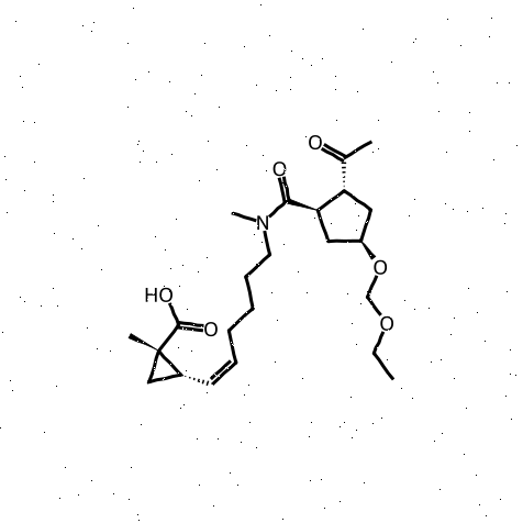 CCOCO[C@@H]1C[C@@H](C(C)=O)[C@H](C(=O)N(C)CCCC/C=C\[C@@H]2C[C@]2(C)C(=O)O)C1